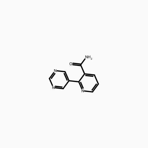 NC(=O)c1cccnc1-c1cncnc1